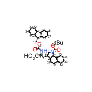 CC(C)(C)OC(=O)n1cc(C[C@H](NC(=O)OCC2c3ccccc3-c3ccccc32)C(=O)O)c2ccc3ccccc3c21